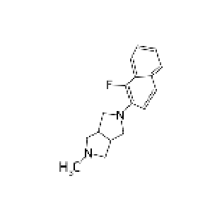 CN1CC2CN(c3ccc4ccccc4c3F)CC2C1